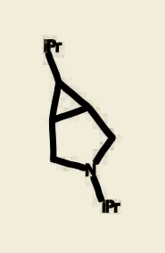 CC(C)C1C2CN(C(C)C)CC21